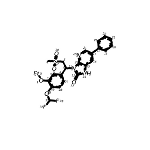 CCOc1cc(C(CS(C)(=O)=O)n2c(=O)[nH]c3cc(-c4ccccc4)cnc32)ccc1OC(F)F